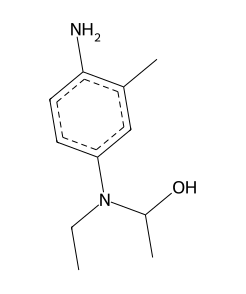 CCN(c1ccc(N)c(C)c1)C(C)O